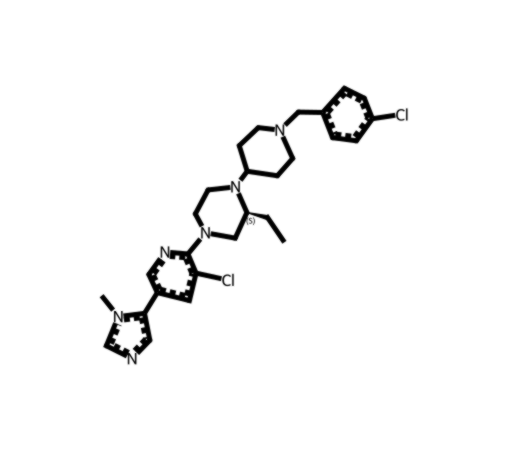 CC[C@H]1CN(c2ncc(-c3cncn3C)cc2Cl)CCN1C1CCN(Cc2ccc(Cl)cc2)CC1